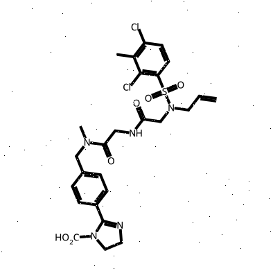 C=CCN(CC(=O)NCC(=O)N(C)Cc1ccc(C2=NCCN2C(=O)O)cc1)S(=O)(=O)c1ccc(Cl)c(C)c1Cl